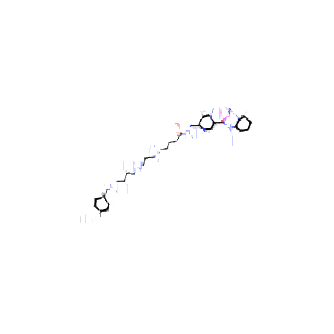 CC(C)(C)c1ccc(CNCCCCNCCCNCCCC(=O)NCc2ccc(C(=O)Nc3ccccc3N)cc2)cc1